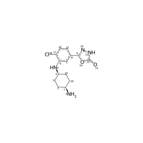 N[C@H]1CC[C@@H](Nc2cc(-c3n[nH]c(=O)o3)ccc2Cl)CC1